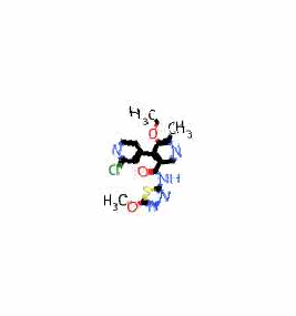 CCOc1c(C)ncc(C(=O)Nc2nnc(OC)s2)c1-c1ccnc(Cl)c1